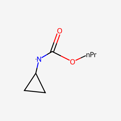 CCCOC(=O)[N]C1CC1